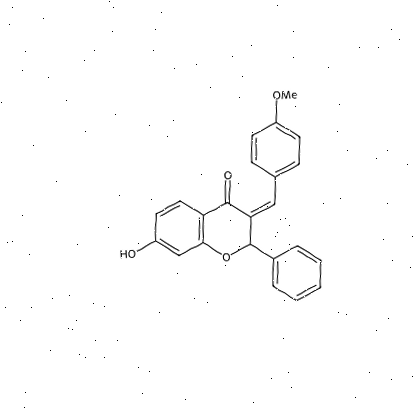 COc1ccc(C=C2C(=O)c3ccc(O)cc3OC2c2ccccc2)cc1